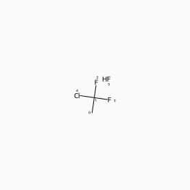 CC(F)(F)Cl.F